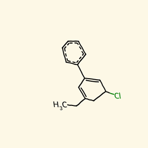 CCC1=CC(c2ccccc2)=CC(Cl)C1